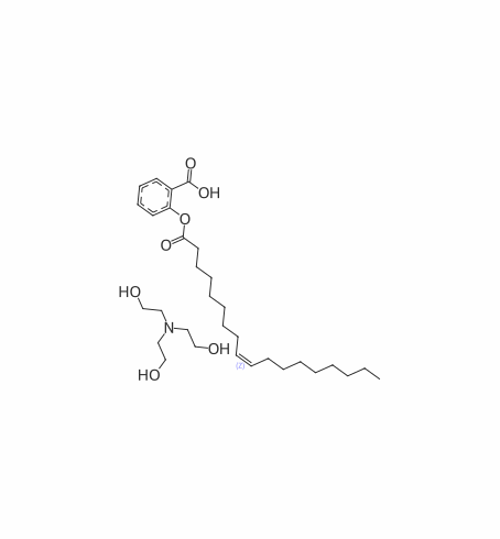 CCCCCCCC/C=C\CCCCCCCC(=O)Oc1ccccc1C(=O)O.OCCN(CCO)CCO